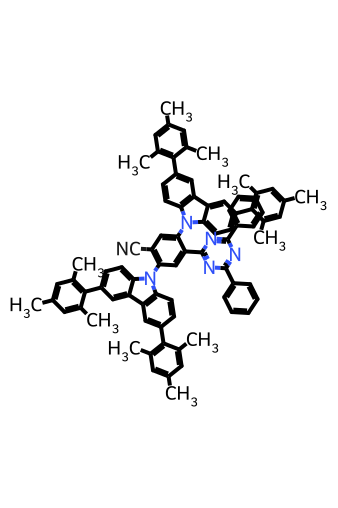 Cc1cc(C)c(-c2ccc3c(c2)c2cc(-c4c(C)cc(C)cc4C)ccc2n3-c2cc(-c3nc(-c4ccccc4)nc(-c4ccccc4)n3)c(-n3c4ccc(-c5c(C)cc(C)cc5C)cc4c4cc(-c5c(C)cc(C)cc5C)ccc43)cc2C#N)c(C)c1